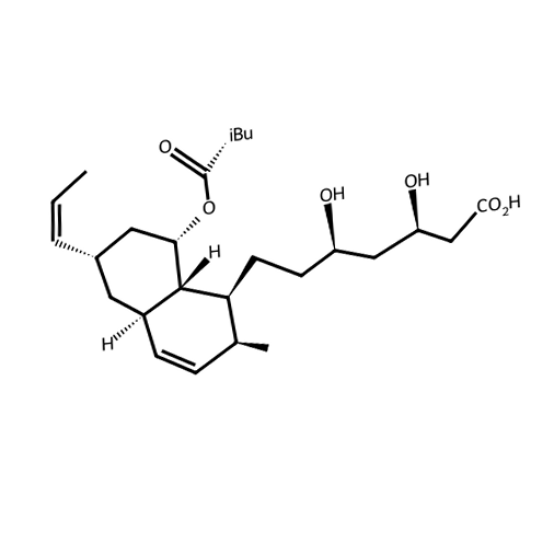 C/C=C\[C@@H]1C[C@H](OC(=O)[C@@H](C)CC)[C@@H]2[C@@H](CC[C@@H](O)C[C@@H](O)CC(=O)O)[C@@H](C)C=C[C@H]2C1